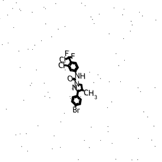 CC1CN(C(=O)Nc2ccc(C(F)(F)Cl)c(Cl)c2)N=C1c1ccc(Br)cc1